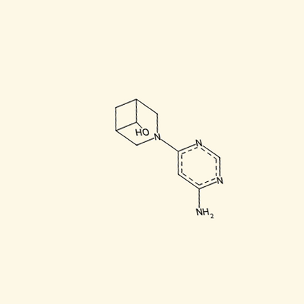 Nc1cc(N2CC3CC(C2)C3O)ncn1